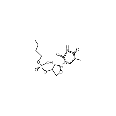 CCCCOP(=O)(O)OC1CO[C@@H](n2cc(C)c(=O)[nH]c2=O)C1